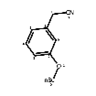 CCCCOc1cccc(CC#N)c1